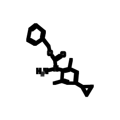 Cc1cc(C2CC2)cc(C)c1N(N)C(=O)OCc1ccccc1